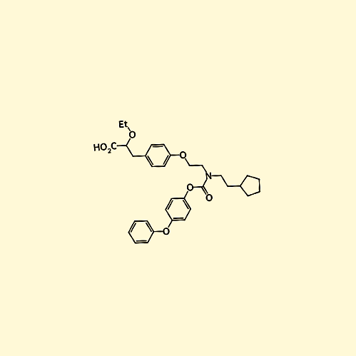 CCOC(Cc1ccc(OCCN(CCC2CCCC2)C(=O)Oc2ccc(Oc3ccccc3)cc2)cc1)C(=O)O